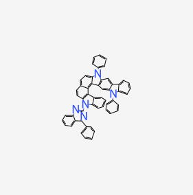 c1ccc(-c2nc(-n3c4ccccc4c4c5c(ccc6c5c5cc7c(cc5n6-c5ccccc5)c5ccccc5n7-c5ccccc5)ccc43)nc3ccccc23)cc1